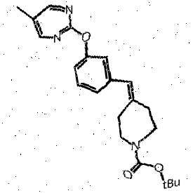 Cc1cnc(Oc2cccc(C=C3CCN(C(=O)OC(C)(C)C)CC3)c2)nc1